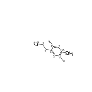 Cc1cc(CCCl)c(C)cc1O